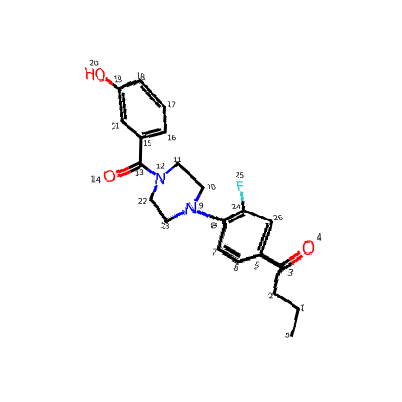 CCCC(=O)c1ccc(N2CCN(C(=O)c3cccc(O)c3)CC2)c(F)c1